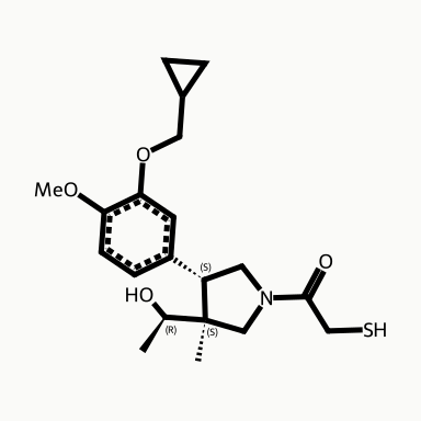 COc1ccc([C@@H]2CN(C(=O)CS)C[C@@]2(C)[C@@H](C)O)cc1OCC1CC1